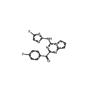 O=C(c1ccc(F)cc1)c1nc(Nc2ncc(F)s2)n2cccc2n1